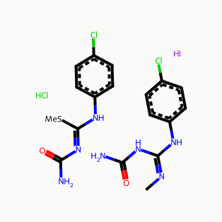 C/N=C(\NC(N)=O)Nc1ccc(Cl)cc1.CS/C(=N\C(N)=O)Nc1ccc(Cl)cc1.Cl.I